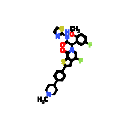 COc1ccc(F)cc1C(C(=O)Nc1nccs1)n1cc(F)c2cc(-c3ccc(C4CCN(C)CC4)cc3)sc2c1=O